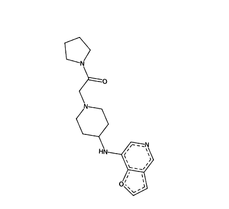 O=C(CN1CCC(Nc2cncc3ccoc23)CC1)N1CCCC1